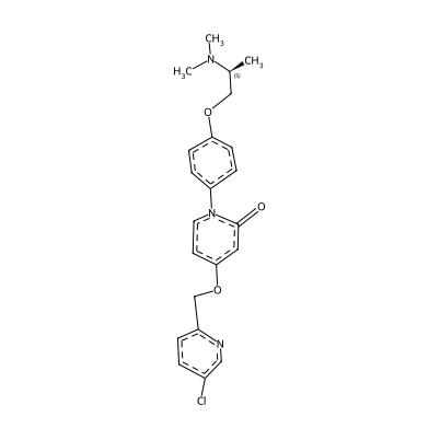 C[C@@H](COc1ccc(-n2ccc(OCc3ccc(Cl)cn3)cc2=O)cc1)N(C)C